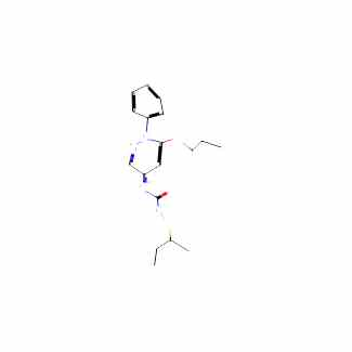 CCCOc1c/c(=N\C(=O)NSC(C)CC)cnn1-c1ccccc1